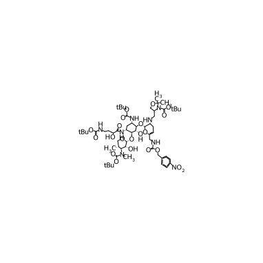 C[C@@H]1CO[C@H](O[C@@H]2[C@@H](O)[C@H](O[C@H]3OC(CNC(=O)OCc4ccc([N+](=O)[O-])cc4)=CC[C@H]3NCC3COC(C)(C)N3C(=O)OC(C)(C)C)[C@@H](NC(=O)OC(C)(C)C)C[C@H]2NC(=O)[C@@H](O)CCNC(=O)OC(C)(C)C)[C@H](O)[C@H]1N(C)C(=O)OC(C)(C)C